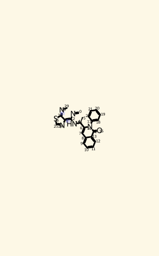 C=N/C(N[C@@H](C)c1cc2ccccc2c(=O)n1-c1ccccc1)=C1/N=CS/C1=N/C